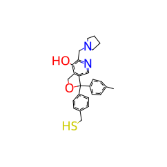 Cc1ccc(C2(c3ccc(CS)cc3)OCc3c2cnc(CN2CCCC2)c3O)cc1